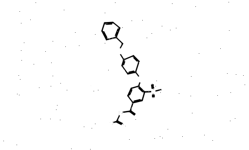 CS(=O)(=O)c1cc(C(=O)NC(=N)N)ccc1Oc1ccc(OCc2ccccc2)cc1.Cl